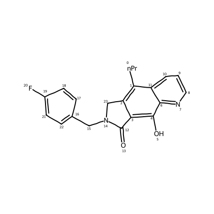 CCCc1c2c(c(O)c3ncccc13)C(=O)N(Cc1ccc(F)cc1)C2